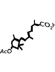 CC(=O)OC1CC(C)=C(C=CC(C)=CC=CC(C)=CC(=O)O)C(C)(C)C1